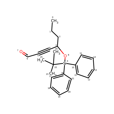 CCCC(C#CC=O)O[Si](c1ccccc1)(c1ccccc1)C(C)(C)C